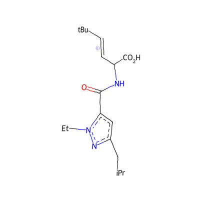 CCn1nc(CC(C)C)cc1C(=O)NC(/C=C/C(C)(C)C)C(=O)O